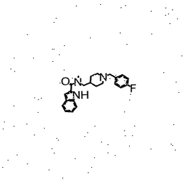 CN(CC1CCN(Cc2ccc(F)cc2)CC1)C(=O)c1cc2ccccc2[nH]1